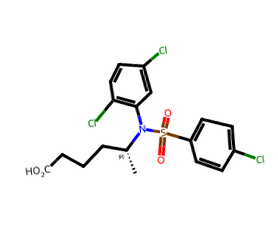 C[C@H](CCCC(=O)O)N(c1cc(Cl)ccc1Cl)S(=O)(=O)c1ccc(Cl)cc1